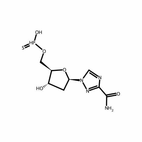 NC(=O)c1ncn([C@H]2C[C@H](O)[C@@H](CO[PH](O)=S)O2)n1